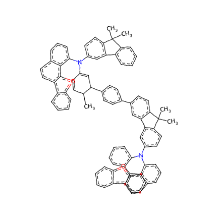 CC1C=CC(N(c2ccc3c(c2)-c2ccccc2C3(C)C)c2cccc3ccc4c5ccccc5oc4c23)=CC1c1ccc(-c2ccc3c(c2)-c2cc(N(c4ccccc4-c4ccccc4)c4cccc5ccc6c7ccccc7oc6c45)ccc2C3(C)C)cc1